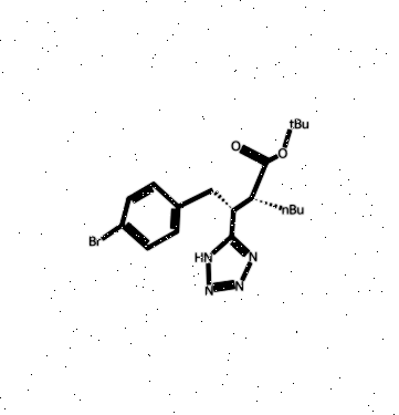 CCCC[C@@H](C(=O)OC(C)(C)C)[C@@H](Cc1ccc(Br)cc1)c1nnn[nH]1